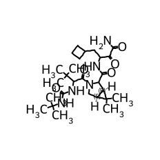 CC(C)(C)NC(=O)NC(C(=O)N1C[C@H]2[C@@H](C1C(=O)NC(CC1CCC1)C(=O)C(N)=O)C2(C)C)C(C)(C)C